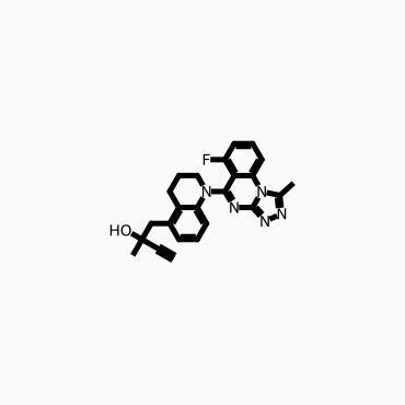 C#CC(C)(O)Cc1cccc2c1CCCN2c1nc2nnc(C)n2c2cccc(F)c12